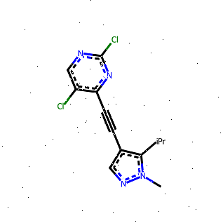 CC(C)c1c(C#Cc2nc(Cl)ncc2Cl)cnn1C